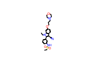 CCn1c(-c2cccc(NS(=O)(=O)CC)c2)c(C#N)c2ccc(OCCCN3CCOCC3)cc21